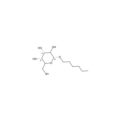 CCCCCCO[C@@H]1OC(CS)[C@H](O)[C@H](O)C1O